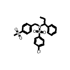 CCC(c1ccccc1)N(Cc1ccc(S(C)(=O)=O)cc1)S(=O)(=O)c1ccc(Cl)cc1